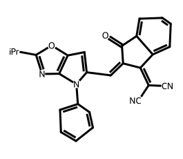 CC(C)c1nc2c(cc(/C=C3\C(=O)c4ccccc4C3=C(C#N)C#N)n2-c2ccccc2)o1